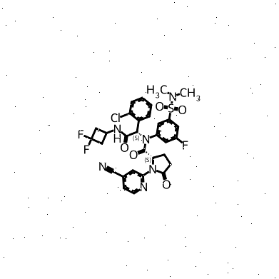 CN(C)S(=O)(=O)c1cc(F)cc(N(C(=O)[C@@H]2CCC(=O)N2c2cc(C#N)ccn2)[C@H](C(=O)NC2CC(F)(F)C2)c2ccccc2Cl)c1